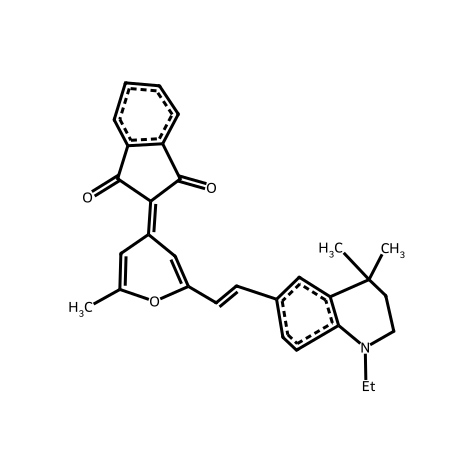 CCN1CCC(C)(C)c2cc(/C=C/C3=CC(=C4C(=O)c5ccccc5C4=O)C=C(C)O3)ccc21